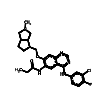 CCC(=O)Nc1cc2c(Nc3ccc(F)c(Cl)c3)ncnc2cc1OCC1CCC2CN(C)CC12